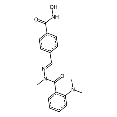 CN(N=Cc1ccc(C(=O)NO)cc1)C(=O)c1ccccc1N(C)C